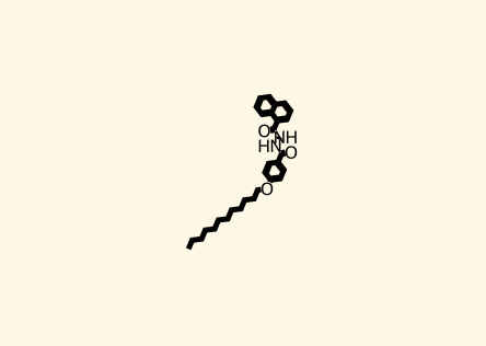 CCCCCCCCCCCCOc1ccc(C(=O)NNC(=O)c2cccc3ccccc23)cc1